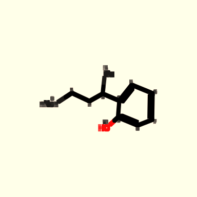 CCCCCCCCCCCC(c1ccccc1O)C(C)CC